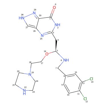 O=c1[nH]c(C[C@@H](NCc2ccc(Cl)c(Cl)c2)OCCN2CCNCC2)nc2c[nH]nc12